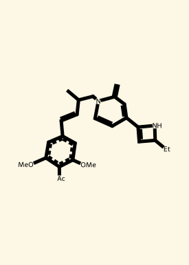 C=C1C=C(C2=CC(CC)N2)C=CN1CC(C)/C=C/c1cc(OC)c(C(C)=O)c(OC)c1